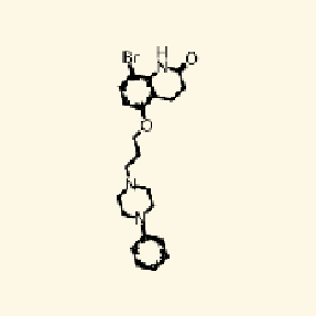 O=C1CCc2c(OCCCN3CCN(c4ccccc4)CC3)ccc(Br)c2N1